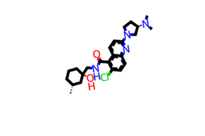 C[C@@H]1CCC[C@](O)(CNC(=O)c2c(Cl)ccc3nc(N4CC[C@H](N(C)C)C4)ccc23)C1